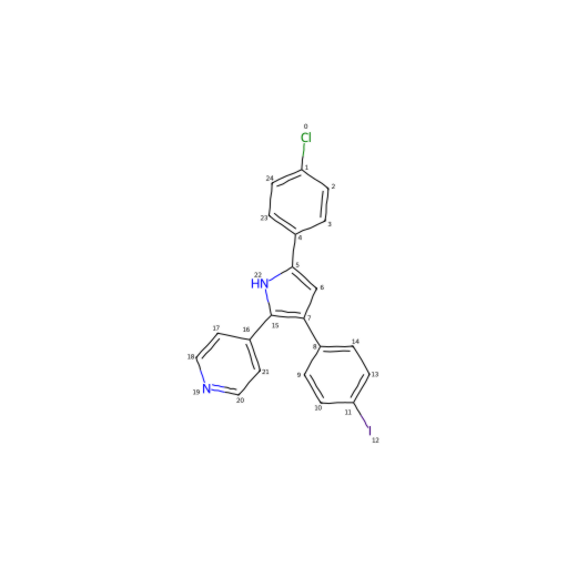 Clc1ccc(-c2cc(-c3ccc(I)cc3)c(-c3ccncc3)[nH]2)cc1